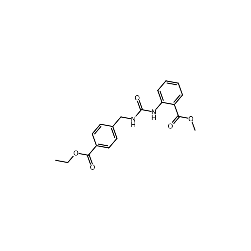 CCOC(=O)c1ccc(CNC(=O)Nc2ccccc2C(=O)OC)cc1